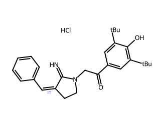 CC(C)(C)c1cc(C(=O)CN2CC/C(=C/c3ccccc3)C2=N)cc(C(C)(C)C)c1O.Cl